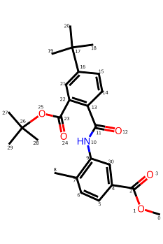 COC(=O)c1ccc(C)c(NC(=O)c2ccc(C(C)(C)C)cc2C(=O)OC(C)(C)C)c1